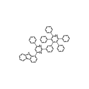 c1ccc(-c2cc(-c3cccc4c3sc3ccccc34)nc(-c3cccc(-c4c(-c5ccccc5)c(-c5ccccc5)nc(-c5ccccc5)c4-c4ccccc4)c3)n2)cc1